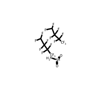 FC(F)C(F)(F)C(F)(F)C(F)(F)F.FC(F)C(F)(F)C(F)(F)C(F)(F)F.N[SH](=O)=O